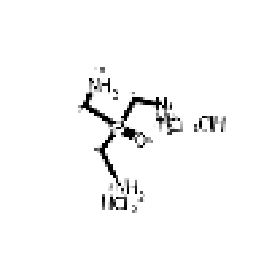 Cl.Cl.Cl.NCP(=O)(CN)CN